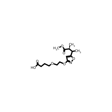 COC(=O)[C@@H](C)C(C)c1cc(OCCOCCCC(=O)O)no1